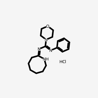 Cl.c1ccc(N=C(N=C2CCCCCCN2)N2CCOCC2)cc1